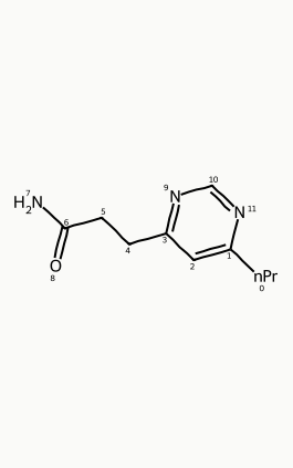 CCCc1cc(CCC(N)=O)ncn1